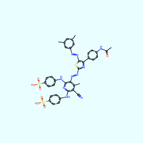 CC(=O)Nc1ccc(-c2nc(N=Nc3c(Nc4ccc(S(=O)(=O)O)cc4)nc(Nc4ccc(S(=O)(=O)O)cc4)c(C#N)c3C)sc2N=Nc2cc(C)cc(C)c2)cc1